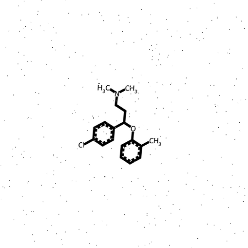 Cc1ccccc1OC(CCN(C)C)c1ccc(Cl)cc1